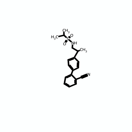 CC(CNS(=O)(=O)C(C)C)c1ccc(-c2ccccc2C#N)cc1